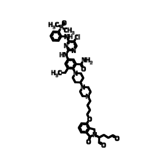 CCc1cc(Nc2ncc(Cl)c(Nc3ccccc3P(C)(C)=O)n2)cc(C(N)=O)c1N1CCC(N2CCN(CCCCOc3cccc4c3CN(C(C=O)CCC=O)C4=O)CC2)CC1